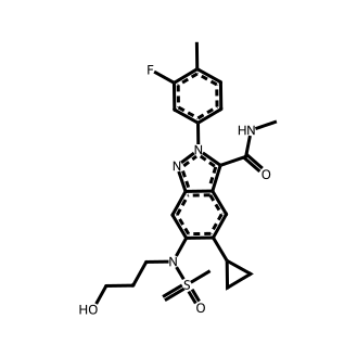 C=S(C)(=O)N(CCCO)c1cc2nn(-c3ccc(C)c(F)c3)c(C(=O)NC)c2cc1C1CC1